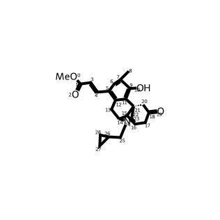 COC(=O)/C=C/c1cc(C)c(O)c2c1CC1C3CCC(=O)C[C@@]23CCN1CC1CC1